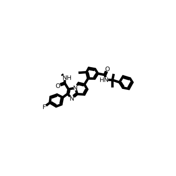 CNC(=O)c1c(-c2ccc(F)cc2)nc2ccc(-c3cc(C(=O)NC(C)(C)c4ccccc4)ccc3C)cn12